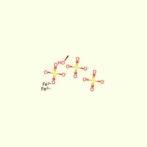 CO.O=S(=O)([O-])[O-].O=S(=O)([O-])[O-].O=S(=O)([O-])[O-].[Fe+3].[Fe+3]